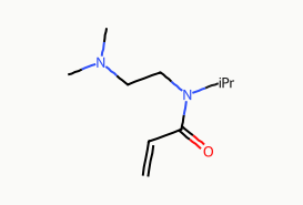 C=CC(=O)N(CCN(C)C)C(C)C